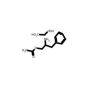 CCCCCCCCCCCC(=O)O.NC(=O)OCC(N)Cc1ccccc1